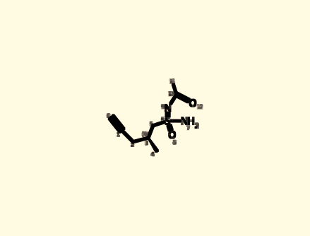 C#CC[C@H](C)CS(N)(=O)=NC(C)=O